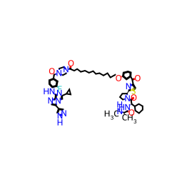 CN[C@@H](C)C(=O)N[C@H](C(=O)N1CCC[C@H]1c1nc(C(=O)c2cccc(OCCCCCCCCCCCCC(=O)N3CCN(C(=O)c4ccc(Nc5nc(C6CC6)cn6c(-c7cn[nH]c7)cnc56)c(F)c4)CC3)c2)cs1)C1CCCCC1